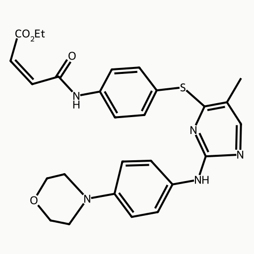 CCOC(=O)/C=C\C(=O)Nc1ccc(Sc2nc(Nc3ccc(N4CCOCC4)cc3)ncc2C)cc1